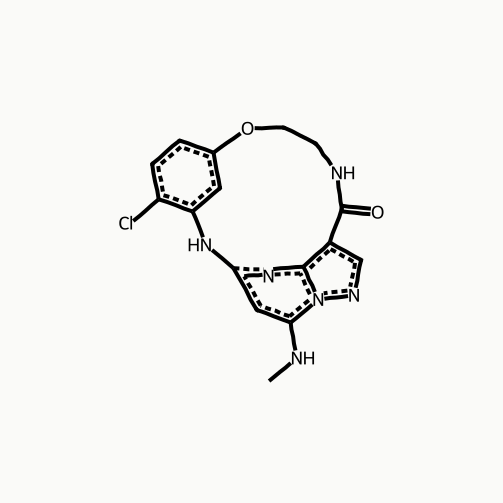 CNc1cc2nc3c(cnn13)C(=O)NCCOc1ccc(Cl)c(c1)N2